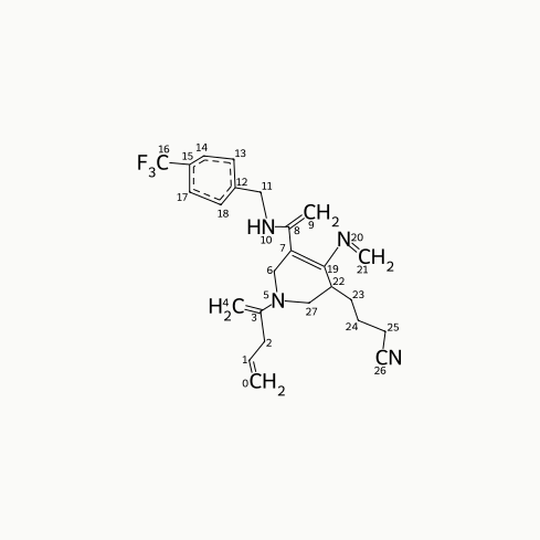 C=CCC(=C)N1CC(C(=C)NCc2ccc(C(F)(F)F)cc2)=C(N=C)C(CCCC#N)C1